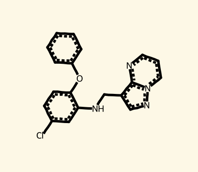 Clc1ccc(Oc2ccccc2)c(NCc2cnn3cccnc23)c1